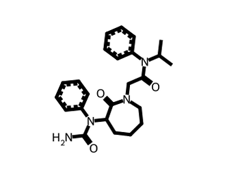 CC(C)N(C(=O)CN1CCCCC(N(C(N)=O)c2ccccc2)C1=O)c1ccccc1